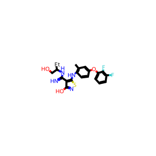 CCC(CO)NC(=N)c1c(O)nsc1Nc1ccc(Oc2cccc(F)c2F)cc1C